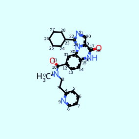 CN(CCc1ccccn1)C(=O)c1ccc2[nH]c(=O)c3cnc(C4CCCCC4)n3c2c1